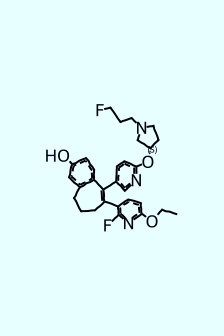 CCOc1ccc(C2=C(c3ccc(O[C@H]4CCN(CCCF)C4)nc3)c3ccc(O)cc3CCC2)c(F)n1